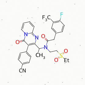 CCS(=O)(=O)CCN(C(=O)Cc1ccc(F)c(C(F)(F)F)c1)C(C)c1nc2ccccn2c(=O)c1-c1ccc(C#N)cc1